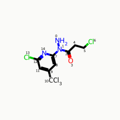 NN(C(=O)CCCl)c1cc(C(Cl)(Cl)Cl)cc(Cl)n1